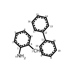 Nc1ccccc1C=O.c1ccc(-c2ccccc2)cc1